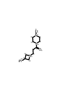 CCN1CCN(C(=O)CCN2CC(C(C)C)C2)CC1